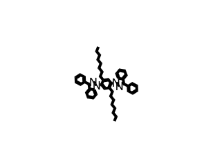 CCCCCCCCc1cc(-n2nc(-c3ccccc3)c3ccccc32)c(CCCCCCCC)cc1-n1nc(-c2ccccc2)c2ccccc21